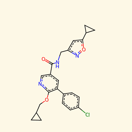 O=C(NCc1cc(C2CC2)on1)c1cnc(OCC2CC2)c(-c2ccc(Cl)cc2)c1